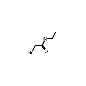 [CH2]CNC(=O)CBr